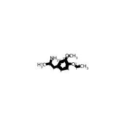 CCOc1ccc(CC(C)N)cc1OC